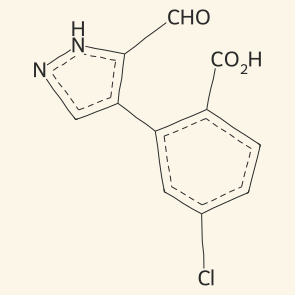 O=Cc1[nH]ncc1-c1cc(Cl)ccc1C(=O)O